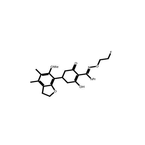 CCCC(=NOCCF)C1=C(O)CC(c2c(OC)c(C)c(C)c3c2OCC3)CC1=O